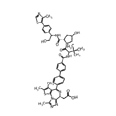 Cc1ncsc1-c1ccc(C(CO)NC(=O)[C@@H]2C[C@@H](O)CN2C(=O)C(NC(=O)c2ccc(-c3ccc(C4=N[C@@H](CC(=O)O)c5nnc(C)n5-c5sc(C)c(C)c54)cc3)cc2)C(C)(C)C)cc1